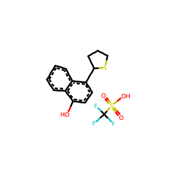 O=S(=O)(O)C(F)(F)F.Oc1ccc(C2CCCS2)c2ccccc12